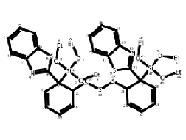 CCO[Si](OCC)(OCC)C1(c2nc3ccccc3s2)C=CC=CC1SSSC1C=CC=CC1(c1nc2ccccc2s1)[Si](OCC)(OCC)OCC